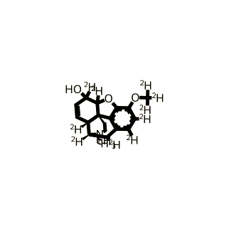 [2H]c1c([2H])c2c3c(c1OC([2H])([2H])[2H])OC1([2H])C([2H])(O)C=C[C@]4([2H])[C@@]31CCN(C)[C@]4([2H])C2([2H])[2H]